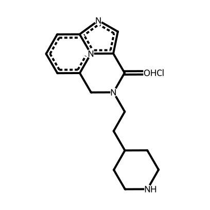 Cl.O=C1c2cnc3cccc(n23)CN1CCC1CCNCC1